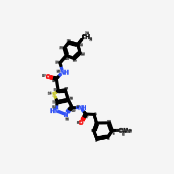 COc1cccc(CC(=O)Nc2n[nH]c3sc(C(=O)NCc4ccc(C)cc4)cc23)c1